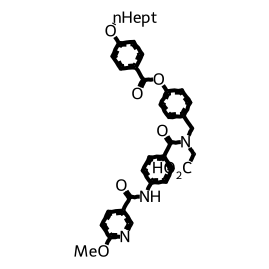 CCCCCCCOc1ccc(C(=O)Oc2ccc(CN(CC(=O)O)C(=O)c3ccc(NC(=O)c4ccc(OC)nc4)cc3)cc2)cc1